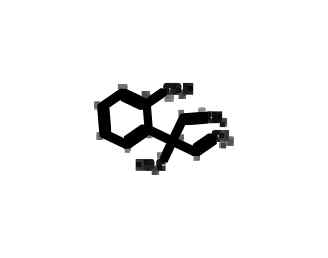 C=CC(C=C)(C(=O)O)c1ccccc1C(=O)O